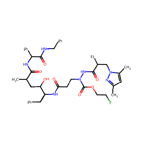 CCC(Cn1nc(C)cc1C)C(=O)NN(CCC(=O)NC(CC(C)C)C(O)CC(C)C(=O)NC(C(=O)NCC(C)C)C(C)C)C(=O)OCCF